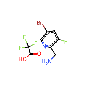 NCc1ncc(Br)cc1F.O=C(O)C(F)(F)F